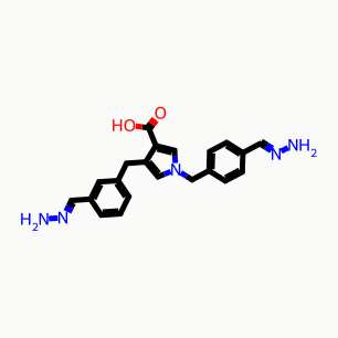 NN=Cc1ccc(Cn2cc(Cc3cccc(C=NN)c3)c(C(=O)O)c2)cc1